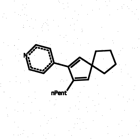 CCCCCC1=CC2(C=C1c1ccncc1)CCCC2